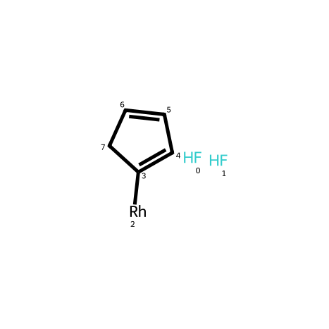 F.F.[Rh][C]1=CC=CC1